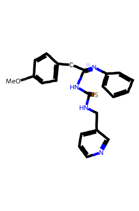 COc1ccc(C/C(=N/c2ccccc2)NC(=S)NCc2cccnc2)cc1